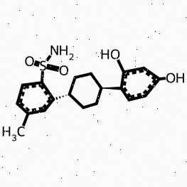 Cc1ccc(S(N)(=O)=O)c([C@H]2CC[C@H](c3ccc(O)cc3O)CC2)c1